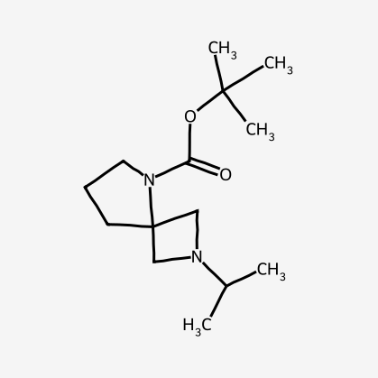 CC(C)N1CC2(CCCN2C(=O)OC(C)(C)C)C1